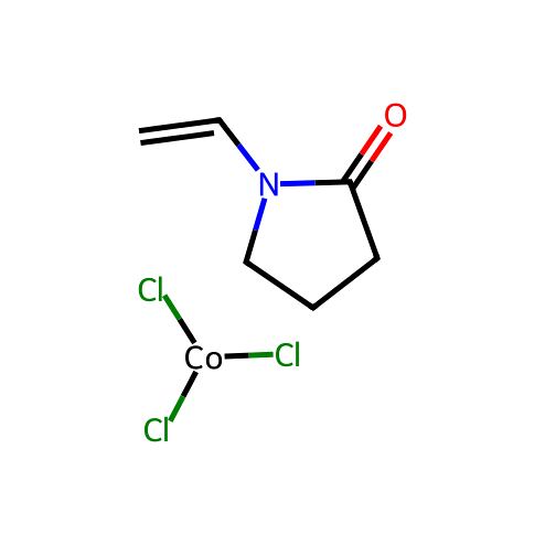 C=CN1CCCC1=O.[Cl][Co]([Cl])[Cl]